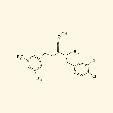 Cl.NC(Cc1ccc(Cl)c(Cl)c1)C(=C=O)CCc1cc(C(F)(F)F)cc(C(F)(F)F)c1